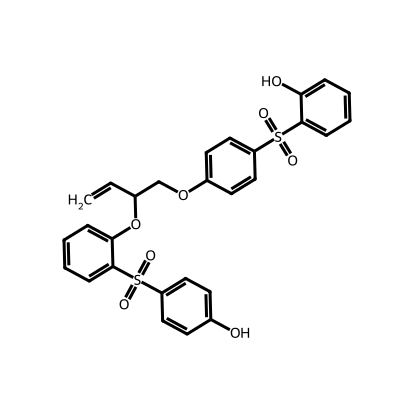 C=CC(COc1ccc(S(=O)(=O)c2ccccc2O)cc1)Oc1ccccc1S(=O)(=O)c1ccc(O)cc1